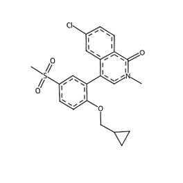 Cn1cc(-c2cc(S(C)(=O)=O)ccc2OCC2CC2)c2cc(Cl)ccc2c1=O